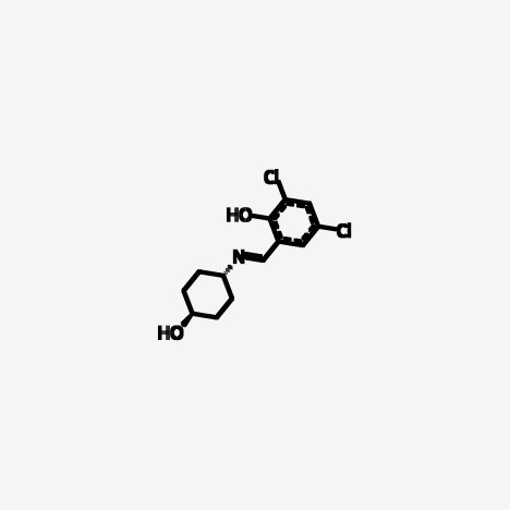 Oc1c(Cl)cc(Cl)cc1C=N[C@H]1CC[C@H](O)CC1